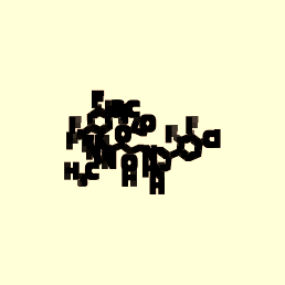 Cc1nc(C(OC2COC2C)[C@@H](O)CN/C=C(\C=N)c2ccc(Cl)c(F)c2F)n(-c2cc(Br)c(F)cc2C(F)(F)F)n1